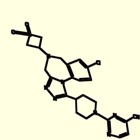 N#Cc1ccnc(N2CCC(c3nnc4n3-c3ccc(Cl)cc3CN(C3CS(=O)(=O)C3)C4)CC2)n1